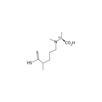 CC(CCCN(C)[C@@H](C)C(=O)O)C(=S)S